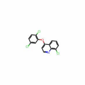 Clc1ccc(Cl)c(Oc2ccnc3c(Cl)cccc23)c1